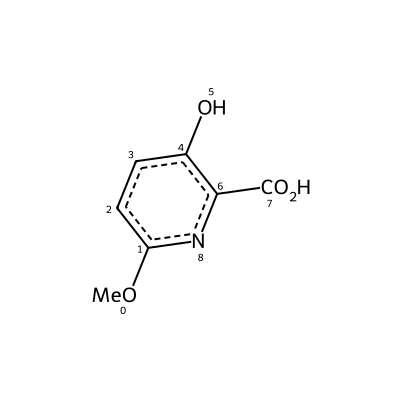 COc1ccc(O)c(C(=O)O)n1